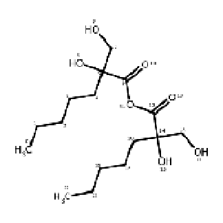 CCCCCC(O)(CO)C(=O)OC(=O)C(O)(CO)CCCCC